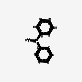 [Y][P](c1ccccc1)c1ccccc1